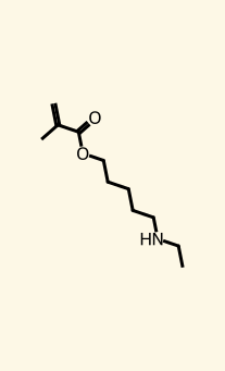 C=C(C)C(=O)OCCCCCNCC